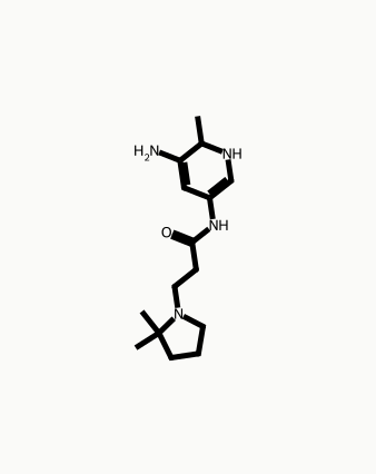 CC1NC=C(NC(=O)CCN2CCCC2(C)C)C=C1N